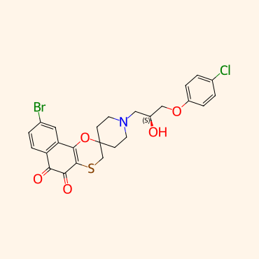 O=C1C(=O)c2ccc(Br)cc2C2=C1SCC1(CCN(C[C@H](O)COc3ccc(Cl)cc3)CC1)O2